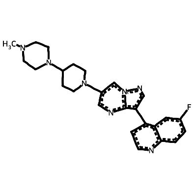 CN1CCN(C2CCN(c3cnc4c(-c5ccnc6ccc(F)cc56)cnn4c3)CC2)CC1